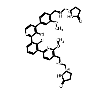 COc1cc(-c2ccnc(-c3cccc(-c4ccc(CNC[C@H]5CCC(=O)N5)c(OC)n4)c3Cl)c2Cl)ccc1CNC[C@@H]1CCC(=O)N1